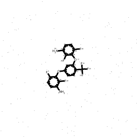 Nc1ccc(F)c(Oc2ccc(C(F)(F)F)c(Oc3c(F)ccc(N)c3F)c2)c1F